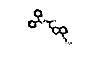 CC(C)/C(CC1CCc2c(cccc2OCC(=O)O)C1)=N/OC(c1ccccc1)c1ccccc1